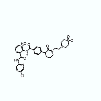 O=C(Nc1c(O)cccc1C(=O)Nc1ccc(Cl)cn1)c1ccc(C2CCCN(CCN3CCS(=O)(=O)CC3)C2=O)cc1